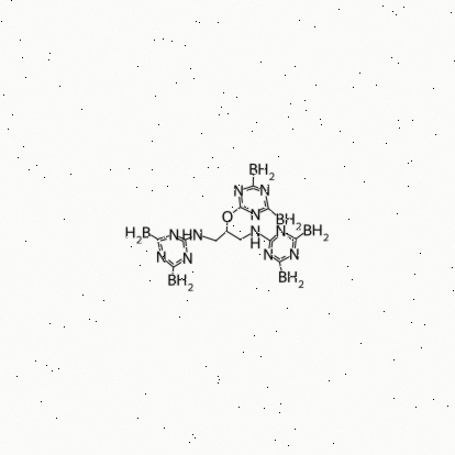 Bc1nc(B)nc(NCC(CNc2nc(B)nc(B)n2)Oc2nc(B)nc(B)n2)n1